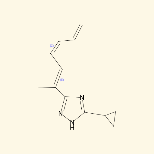 C=C/C=C\C=C(/C)c1n[nH]c(C2CC2)n1